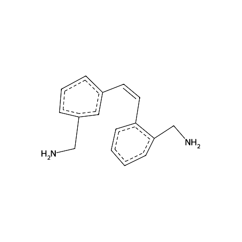 NCc1cccc(/C=C\c2ccccc2CN)c1